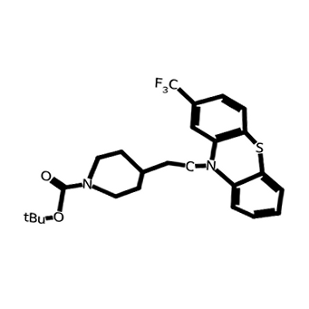 CC(C)(C)OC(=O)N1CCC(CCN2c3ccccc3Sc3ccc(C(F)(F)F)cc32)CC1